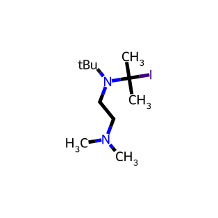 CN(C)CCN(C(C)(C)C)C(C)(C)I